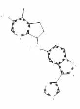 Cc1c(C#N)cnc2c1CCC2Nc1ccc2[nH]nc(-c3cnco3)c2c1